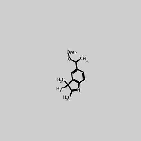 COOC(C)c1ccc2c(c1)C(C)(C)C(C)=N2